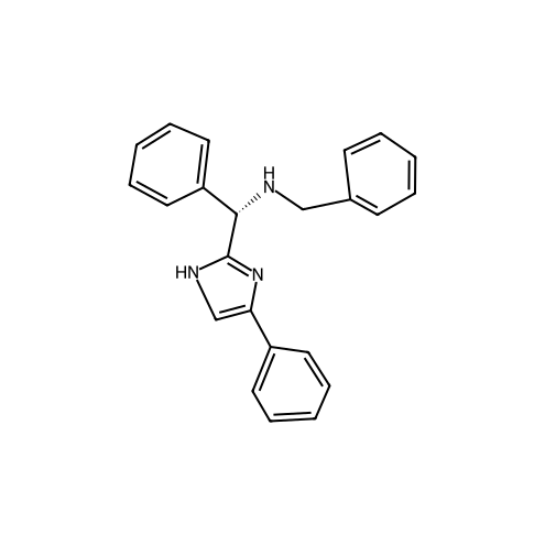 c1ccc(CN[C@@H](c2ccccc2)c2nc(-c3ccccc3)c[nH]2)cc1